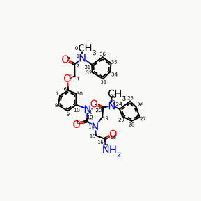 CN(C(=O)COc1cccc([N]C(=O)N(CC(N)=O)CC(=O)N(C)c2ccccc2)c1)c1ccccc1